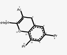 CCCCCCCC1=C(C(C)=O)Cc2cc(C(C)C)cc(C(C)C)c2O1